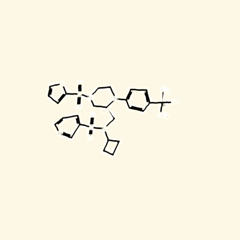 C[C@@](O)(c1ccc(N2CCN(S(=O)(=O)c3cccs3)C[C@@H]2CN(C2CCC2)S(=O)(=O)c2cccnc2)cc1)C(F)(F)F